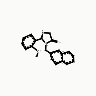 COc1ccccc1C1SCC(=O)N1Cc1ccc2ccccc2c1